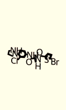 CC(C)(NC(=O)c1ccc(Br)s1)C(=O)Nc1ccc(N2CCCN2)c(Cl)c1